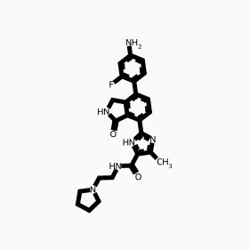 Cc1nc(-c2ccc(-c3ccc(N)cc3F)c3c2C(=O)NC3)[nH]c1C(=O)NCCN1CCCC1